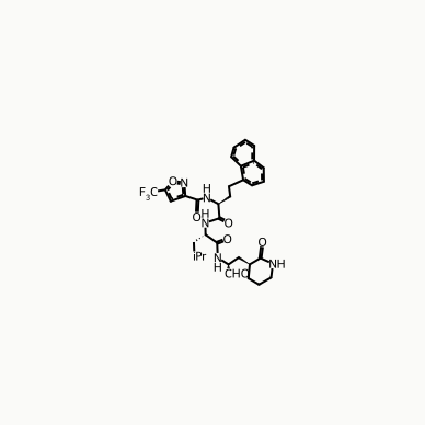 CC(C)C[C@H](NC(=O)[C@H](CCc1cccc2ccccc12)NC(=O)c1cc(C(F)(F)F)on1)C(=O)N[C@H](C=O)C[C@@H]1CCCNC1=O